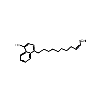 CCCCCCCC/C=C\CCCCCCCCc1ccc(O)c2ccccc12